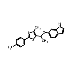 Cc1nc(-c2ccc(C(F)(F)F)cc2)sc1C(C)Oc1ccc2cc[nH]c2c1